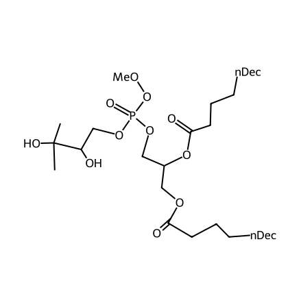 CCCCCCCCCCCCCC(=O)OCC(COP(=O)(OCC(O)C(C)(C)O)OOC)OC(=O)CCCCCCCCCCCCC